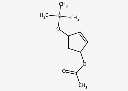 CC(=O)OC1C=CC(O[Si](C)(C)C)C1